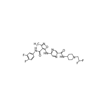 Cc1noc(Nc2cnc(C(=O)NC3CCN(CC(F)F)CC3)cn2)c1C(=O)Nc1ccc(F)c(F)c1